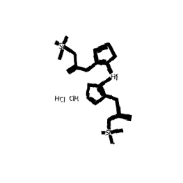 C=C(CC1=[C]([Hf][C]2=C(CC(=C)C[Si](C)(C)C)C=CC2)CC=C1)C[Si](C)(C)C.Cl.Cl